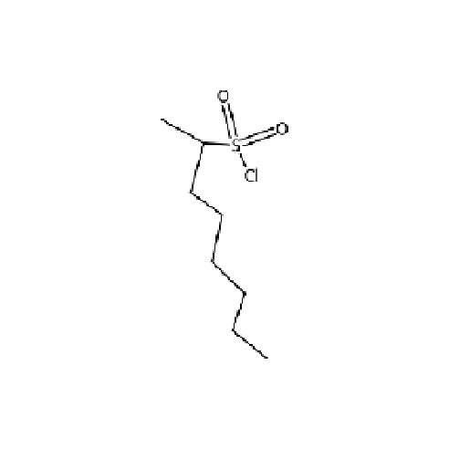 CCCCCCC(C)S(=O)(=O)Cl